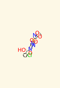 O=C([C@@H](CO)c1ccccc1Cl)N1Cc2cn(S(=O)(=O)c3cnc4c(c3)OCCO4)nc2C1